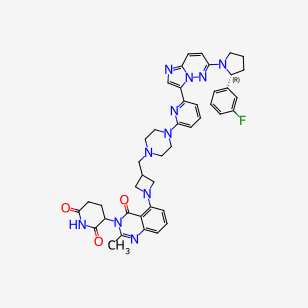 Cc1nc2cccc(N3CC(CN4CCN(c5cccc(-c6cnc7ccc(N8CCC[C@@H]8c8cccc(F)c8)nn67)n5)CC4)C3)c2c(=O)n1C1CCC(=O)NC1=O